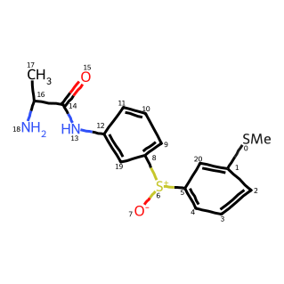 CSc1cccc([S+]([O-])c2cccc(NC(=O)C(C)N)c2)c1